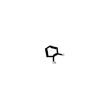 N#Cc1ccc[c]c1Cl